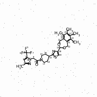 Cc1cc(C(F)(F)F)n(CC(=O)N2CCC(c3nc(C4OCc5c(C)c(C)c(C)c(C)c5CO4)cs3)CC2)n1